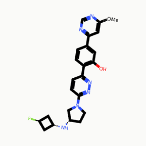 COc1cc(-c2ccc(-c3ccc(N4CC[C@H](N[C@H]5C[C@H](F)C5)C4)nn3)c(O)c2)ncn1